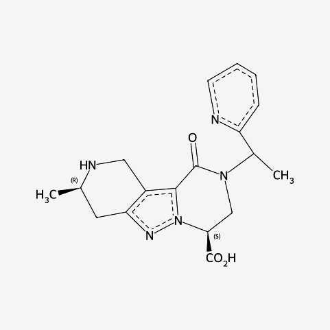 CC(c1ccccn1)N1C[C@@H](C(=O)O)n2nc3c(c2C1=O)CN[C@H](C)C3